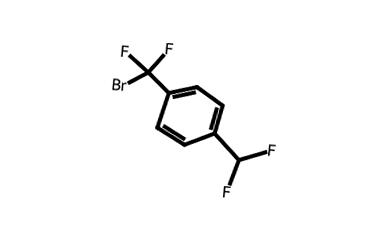 FC(F)c1ccc(C(F)(F)Br)cc1